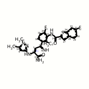 Cc1c(C(=N)/C=C(/Nc2cc(C)n(C)n2)C(N)=O)ccc(F)c1NC(=O)c1cc2ccc(F)cc2s1